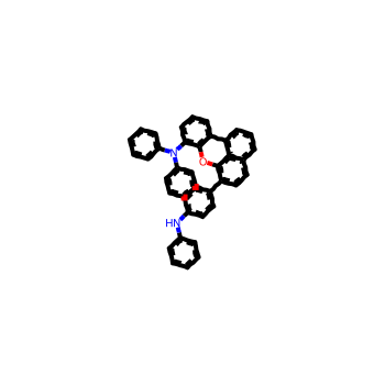 c1ccc(Nc2ccc(-c3ccc4cccc5c4c3Oc3c-5cccc3N(c3ccccc3)c3ccccc3)cc2)cc1